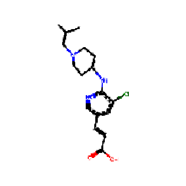 CC(C)CN1CCC(Nc2ncc(/C=C/C(=O)O)cc2Cl)CC1